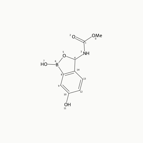 COC(=O)NC1OB(O)c2cc(O)ccc21